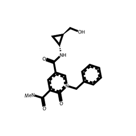 CNC(=O)c1cc(C(=O)N[C@@H]2C[C@H]2CO)cn(Cc2ccccc2)c1=O